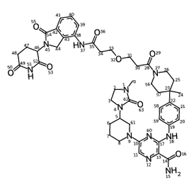 CN1CCN(C2CCCN(c3cnc(C(N)=O)c(Nc4ccc(C5(C)CCN(C(=O)CCOCCC(=O)Nc6cccc7c6CN(C6CCC(=O)NC6=O)C7=O)CC5)cc4)n3)C2)C1=O